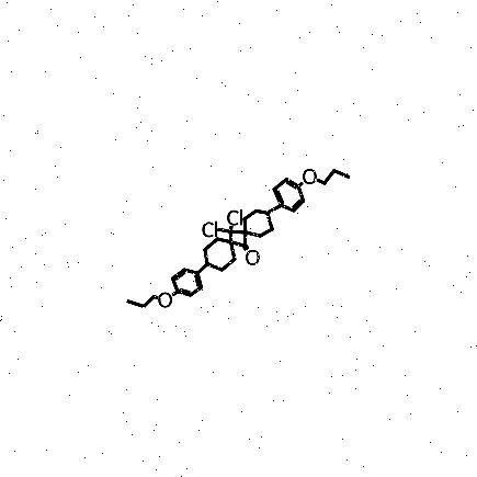 CCCOc1ccc(C2CCC3(CC2)C(=O)C2(CCC(c4ccc(OCCC)cc4)CC2)C3(Cl)Cl)cc1